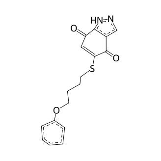 O=C1C(SCCCCOc2ccccc2)=CC(=O)c2[nH]ncc21